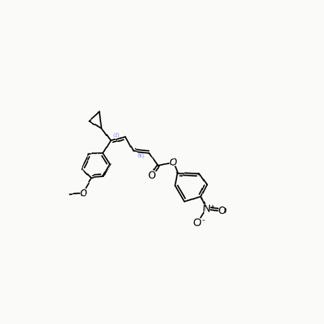 COc1ccc(/C(=C\C=C\C(=O)Oc2ccc([N+](=O)[O-])cc2)C2CC2)cc1